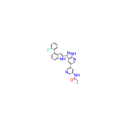 CCC(=O)Nc1cncc(-c2cnc3[nH]nc(-c4cc5c(-c6ccccc6F)cccc5[nH]4)c3c2)c1